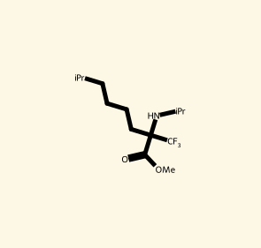 COC(=O)C(CCCCC(C)C)(NC(C)C)C(F)(F)F